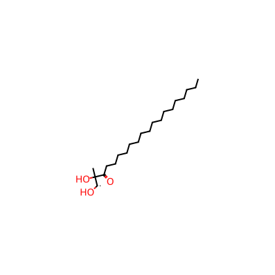 CCCCCCCCCCCCCCCCCC(=O)C(C)(O)[CH]O